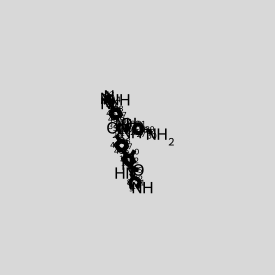 Cc1cc(C(=O)NC2CCNCC2)ncc1-c1ccc(C[C@H](NC(=O)[C@H]2CC[C@H](CN)CC2)C(=O)Nc2ccc(-c3nnn[nH]3)cc2)cc1